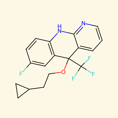 Fc1ccc2c(c1)C(OCCC1CC1)(C(F)(F)F)c1cccnc1N2